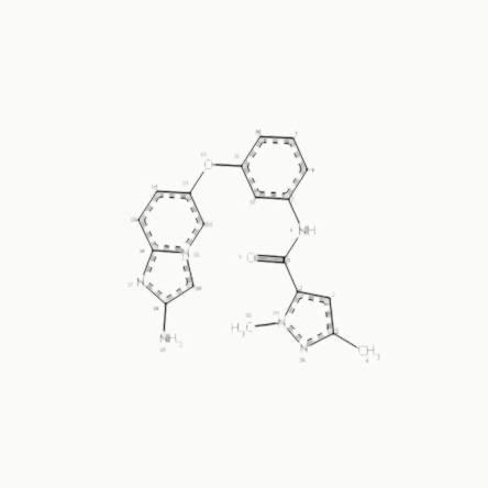 Cc1cc(C(=O)Nc2cccc(Oc3ccc4nc(N)cn4c3)c2)n(C)n1